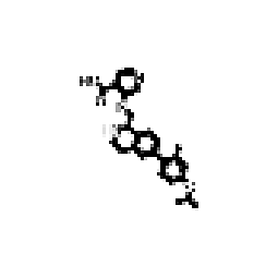 Cc1cc(OC(C)C)ccc1-c1ccc2c(c1)CCNC2CNc1cnccc1C(=O)O